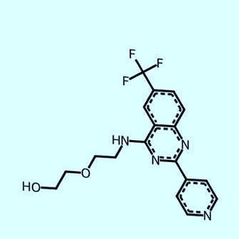 OCCOCCNc1nc(-c2ccncc2)nc2ccc(C(F)(F)F)cc12